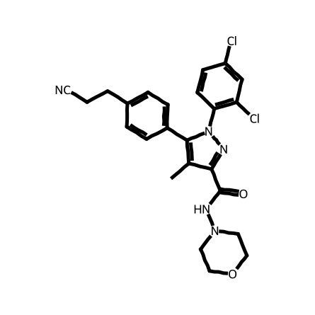 Cc1c(C(=O)NN2CCOCC2)nn(-c2ccc(Cl)cc2Cl)c1-c1ccc(CCC#N)cc1